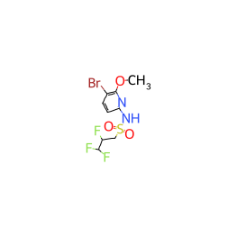 COc1nc(NS(=O)(=O)CC(F)C(F)F)ccc1Br